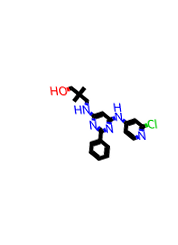 CC(C)(CO)CNc1cc(Nc2ccnc(Cl)c2)nc(-c2ccccc2)n1